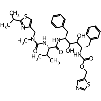 CC(C)c1nc(CN(C)C(=O)N[C@H](C(=O)N[C@@H](Cc2ccccc2)C(O)[C@@H](O)[C@H](Cc2ccccc2)NC(=O)OCc2cncs2)C(C)C)cs1